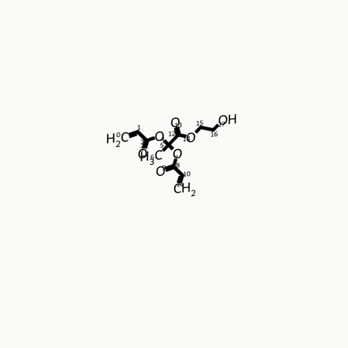 C=CC(=O)OC(C)(OC(=O)C=C)C(=O)OCCO